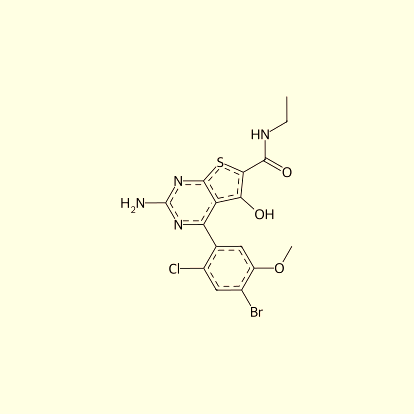 CCNC(=O)c1sc2nc(N)nc(-c3cc(OC)c(Br)cc3Cl)c2c1O